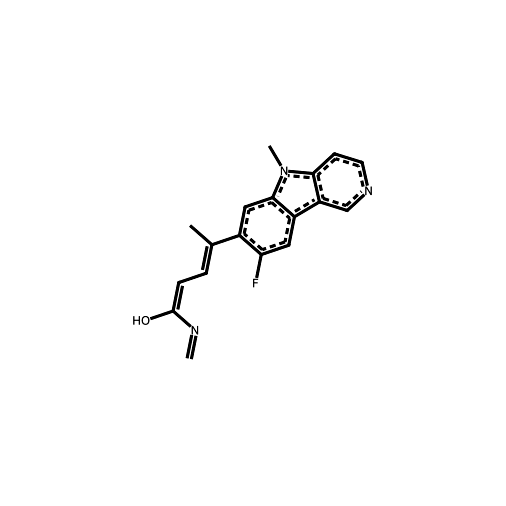 C=N/C(O)=C\C=C(/C)c1cc2c(cc1F)c1cnccc1n2C